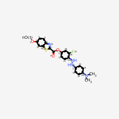 CCCCCCCCOc1ccc2nc(C(=O)Oc3ccc(NNc4ccc(N(C)C)cc4)c(F)c3)sc2c1